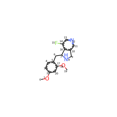 COc1ccc(CC2NCc3cncc(F)c32)c(OC)c1